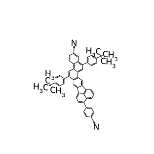 CC(C)(C)c1ccc(-c2cc3c4cc5c(cc4c(-c4ccc(C(C)(C)C)cc4)cc3c3ccc(C#N)cc23)-c2ccc(-c3ccc(C#N)cc3)c3cccc-5c23)cc1